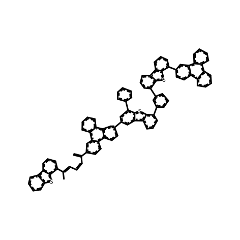 C=C(/C=C\C=C(/C)c1cccc2c1sc1ccccc12)c1ccc2c3ccc(-c4cc(-c5ccccc5)c5sc6c(-c7cccc(-c8cccc9c8sc8c(-c%10ccc%11c%12ccccc%12c%12ccccc%12c%11c%10)cccc89)c7)cccc6c5c4)cc3c3ccccc3c2c1